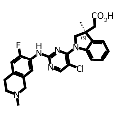 CN1CCc2cc(F)c(Nc3ncc(Cl)c(N4C[C@@](C)(CC(=O)O)c5ccccc54)n3)cc2C1